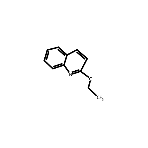 FC(F)(F)COc1ccc2ccccc2n1